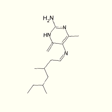 C=C1NC(N)=NC(C)=C1/N=C\CC(C)CC(C)CC